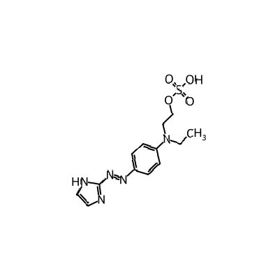 CCN(CCOS(=O)(=O)O)c1ccc(/N=N/c2ncc[nH]2)cc1